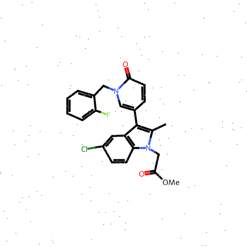 COC(=O)Cn1c(C)c(-c2ccc(=O)n(Cc3ccccc3F)c2)c2cc(Cl)ccc21